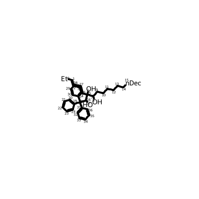 CCC=CCCC(O)(C(O)CCCCCCCCCCCCCCCC)C(O)C(c1ccccc1)(c1ccccc1)c1ccccc1